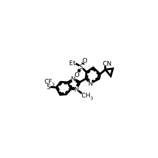 CCS(=O)(=O)c1cc(C2(C#N)CC2)cnc1-c1nc2cc(SC(F)(F)F)ccc2n1C